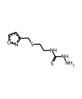 NNC(=S)NCCSCc1ccon1